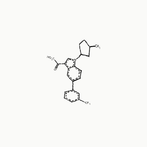 CC1CCC(n2cc(C(=O)C(=O)O)c3cc(-c4cccc(C(F)(F)F)c4)ccc32)C1